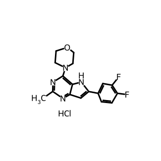 Cc1nc(N2CCOCC2)c2[nH]c(-c3ccc(F)c(F)c3)cc2n1.Cl